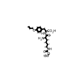 C=CCOc1ccc(C[C@H](NC(=O)[C@H](N)CCCCNC(=O)OC(C)(C)C)C(=O)O)cc1